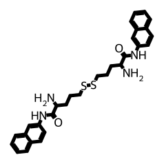 NC(CCCSSCCCC(N)C(=O)Nc1ccc2ccccc2c1)C(=O)Nc1ccc2ccccc2c1